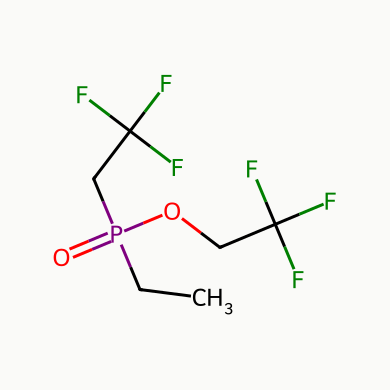 CCP(=O)(CC(F)(F)F)OCC(F)(F)F